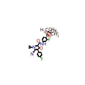 CC1(C)OB(c2ccc(NC(=O)c3cn(C4CC4)c(C#N)c(-c4ccc(F)cc4)c3=O)cc2F)OC1(C)C